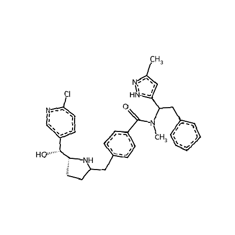 Cc1cc(C(Cc2ccccc2)N(C)C(=O)c2ccc(CC3CC[C@H]([C@H](O)c4ccc(Cl)nc4)N3)cc2)[nH]n1